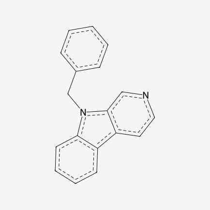 c1ccc(Cn2c3ccccc3c3ccncc32)cc1